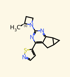 C[C@H]1CCN1c1nc(-c2ccns2)c2c(n1)C1CC1C2